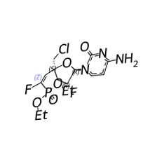 CCOP(=O)(OCC)/C(F)=C\[C@]1(CCl)C[C@@H](F)[C@H](n2ccc(N)nc2=O)O1